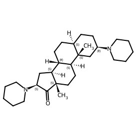 C[C@]12C[C@H](N3CCCCC3)CC[C@@H]1CC[C@@H]1[C@@H]2CC[C@]2(C)C(=O)[C@@H](N3CCCCC3)C[C@@H]12